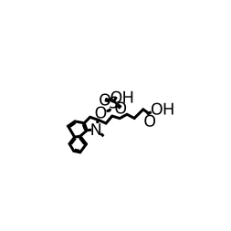 CN1c2c(ccc3ccccc23)CC1(CCCCCCC(=O)O)OCS(=O)(=O)O